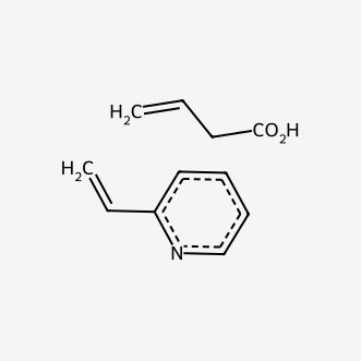 C=CCC(=O)O.C=Cc1ccccn1